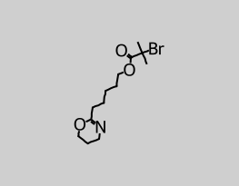 CC(C)(Br)C(=O)OCCCCCC1=NCCCO1